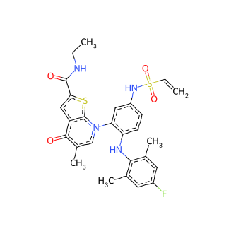 C=CS(=O)(=O)Nc1ccc(Nc2c(C)cc(F)cc2C)c(-n2cc(C)c(=O)c3cc(C(=O)NCC)sc32)c1